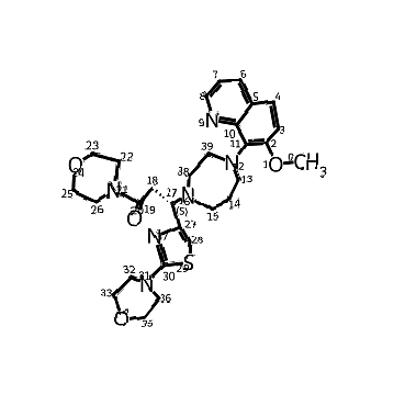 COc1ccc2cccnc2c1N1CCCN([C@@H](CC(=O)N2CCOCC2)c2csc(N3CCOCC3)n2)CC1